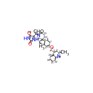 Cc1cc(COc2ccc(C3(C)CCCN(C(C=O)C4NC(=O)NC4=O)C3)cc2)c2ccccc2n1